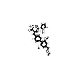 CCOCc1cc(OC)c(-c2ccc(CC(NC(=O)[C@@H]3CCCN3)C(=O)O)cc2)c(OC)c1